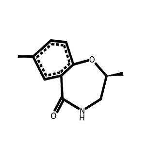 Cc1ccc2c(c1)C(=O)NC[C@H](C)O2